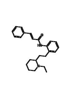 CCN1CCCCC1CCc1ccccc1NC(=O)C=Cc1ccccc1